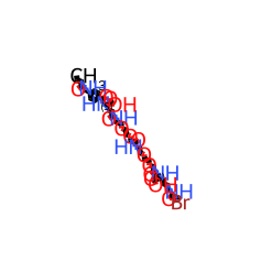 CCCC(=O)NC[C@H]1CC[C@H](C(=O)N[C@@H](CCC(=O)NCCOCCOCC(=O)NCCOCCOCC(=O)N[C@@H](CCCCNC(=O)CBr)C(=O)O)C(=O)O)CC1